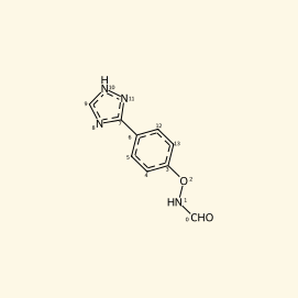 O=CNOc1ccc(-c2nc[nH]n2)cc1